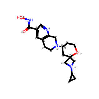 O=C(NO)c1cnc2c(c1)CCN([C@@H]1CCOC3(C1)CN(C1CC1)C3)C2